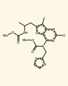 Cc1c(CC(C)NC(=O)OC(C)(C)C)oc2c(N(Cc3nccs3)C(=O)OC(C)(C)C)nc(Cl)nc12